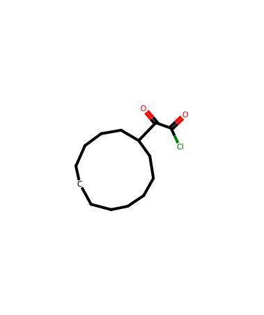 O=C(Cl)C(=O)C1CCCCCCCCCCC1